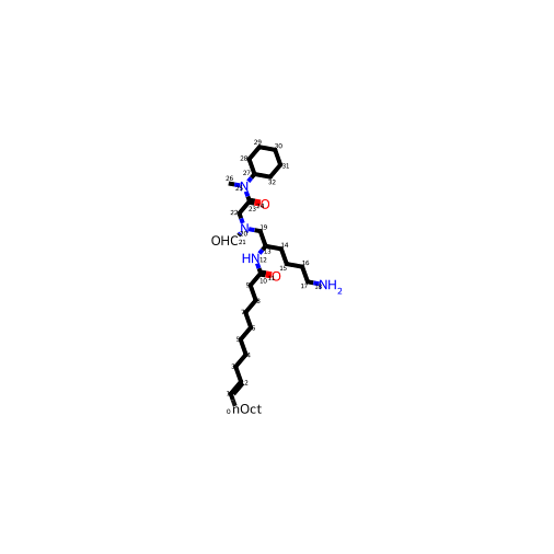 CCCCCCCC/C=C/CCCCCCCC(=O)NC(CCCCN)CN(C=O)CC(=O)N(C)C1CCCCC1